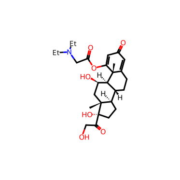 CCN(CC)CC(=O)OC1=CC(=O)C=C2CC[C@H]3[C@@H]([C@H](O)C[C@]4(C)[C@@H]3CC[C@@]4(O)C(=O)CO)[C@@]21C